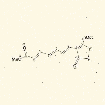 CCCCCCCCC1=C(C=CC=CC=CC(=O)OC)C(=O)CC1